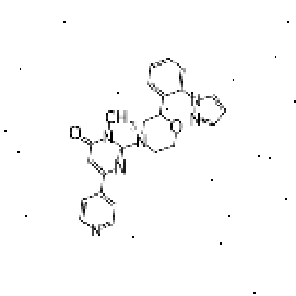 Cn1c(N2CCOC(c3ccccc3-n3cccn3)C2)nc(-c2ccncc2)cc1=O